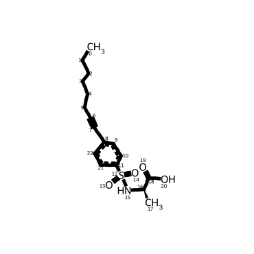 CCCCCCC#Cc1ccc(S(=O)(=O)N[C@H](C)C(=O)O)cc1